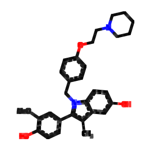 COc1cc(-c2c(C)c3cc(O)ccc3n2Cc2ccc(OCCN3CCCCC3)cc2)ccc1O